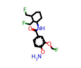 NOc1ccc(C(=O)NC2CCCC(CF)C2CF)cc1OCF